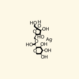 OC[C@]1(O)O[C@H](COC(O)[C@H]2OC[C@@H](O)[C@@H](O)[C@H]2O)[C@@H](O)[C@H]1O.[Ag]